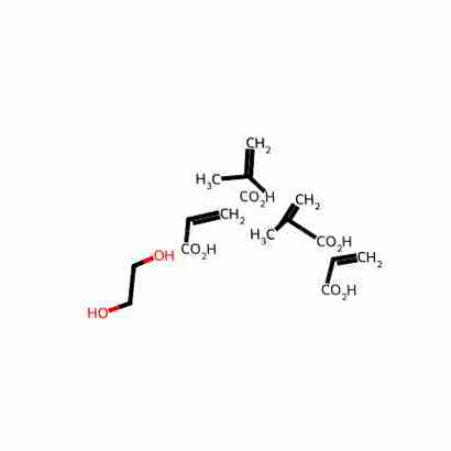 C=C(C)C(=O)O.C=C(C)C(=O)O.C=CC(=O)O.C=CC(=O)O.OCCO